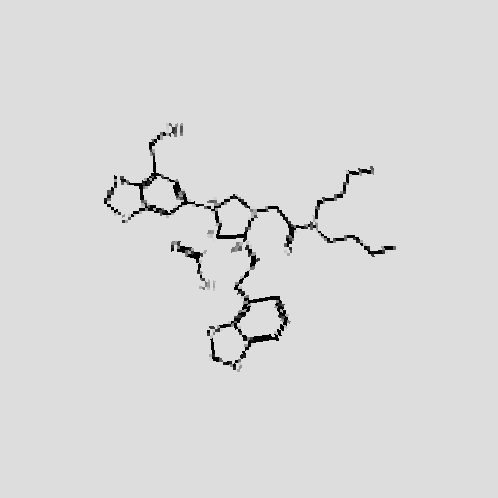 CCCCN(CCCC)C(=O)CN1C[C@H](c2cc(CO)c3c(c2)OCO3)[C@@H](C(=O)O)[C@@H]1CCc1cccc2c1OCO2